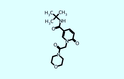 CC(C)(C)NC(=O)c1ccc(=O)n(CC(=O)N2CCOCC2)c1